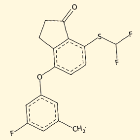 [CH2]c1cc(F)cc(Oc2ccc(SC(F)F)c3c2CCC3=O)c1